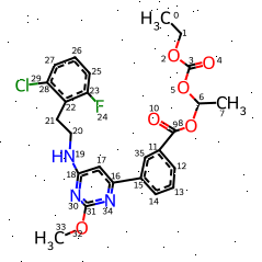 CCOC(=O)OC(C)OC(=O)c1cccc(-c2cc(NCCc3c(F)cccc3Cl)nc(OC)n2)c1